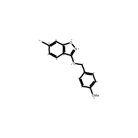 COc1ccc(COc2noc3cc(I)ccc23)cc1